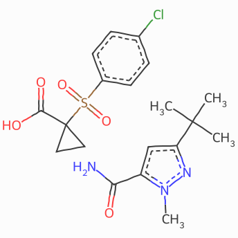 Cn1nc(C(C)(C)C)cc1C(N)=O.O=C(O)C1(S(=O)(=O)c2ccc(Cl)cc2)CC1